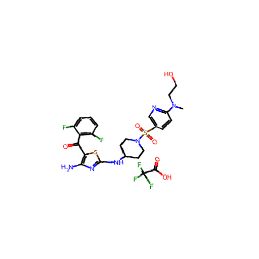 CN(CCO)c1ccc(S(=O)(=O)N2CCC(Nc3nc(N)c(C(=O)c4c(F)cccc4F)s3)CC2)cn1.O=C(O)C(F)(F)F